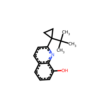 CC(C)(C)C1(c2ccc3cccc(O)c3n2)CC1